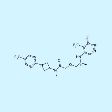 C[C@@H](COCC(=O)N(C)C1CN(c2ncc(C(F)(F)F)cn2)C1)Nc1cn[nH]c(=O)c1C(F)(F)F